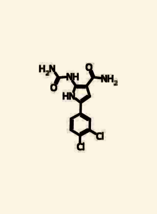 NC(=O)Nc1[nH]c(-c2ccc(Cl)c(Cl)c2)cc1C(N)=O